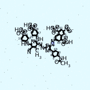 CC(=O)Nc1ccc(-c2nc(N=Nc3c(Nc4ccc(S(=O)(=O)O)cc4)nc(Nc4ccc(S(=O)(=O)O)cc4)c(C#N)c3C)sc2/N=N/c2cc(S(=O)(=O)O)c3cc([N+](=O)[O-])cc(S(=O)(=O)O)c3c2)cc1